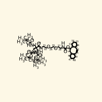 CC(C)(C)OC(=O)NCC(CNC(=O)OC(C)(C)C)(CNC(=O)OC(C)(C)C)C(=O)NCCOCCOCCNC(=O)OC1Cc2ccccc2C#Cc2ccccc21